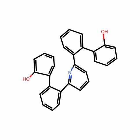 Oc1ccccc1-c1ccccc1-c1cccc(-c2ccccc2-c2ccccc2O)n1